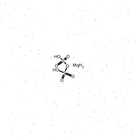 O=S(=O)(O)OS(=O)(=O)O.[MgH2]